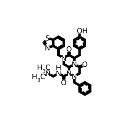 CN(C)CNC(=O)N1C2CN(CC3=CC=CC4SC=NC34)C(=O)C(Cc3ccc(O)cc3)N2C(=O)CN1Cc1ccccc1